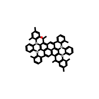 Cc1cc(C)c(B2c3ccccc3N(c3c(C)cccc3C)c3c2c(C(C)C)c2ccc4c5c(c(C(C)C)c6ccc3c2c64)B(c2c(C)cc(C)cc2C)c2ccccc2N5c2c(C)cccc2C)c(C)c1